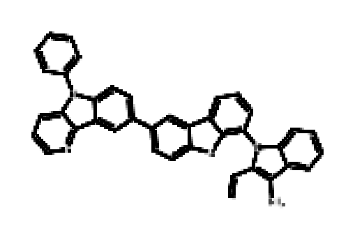 C=Cc1c(N)c2ccccc2n1-c1cccc2c1oc1ccc(-c3ccc4c(c3)c3ncccc3n4-c3ccccc3)cc12